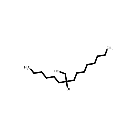 CCCCCCCCC(O)(CO)CCCCCC